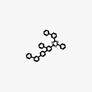 c1ccc(-c2cccc(-c3ccc(-c4ccc(-c5nc(-c6ccccc6)nc(-c6cccc(-c7ccccc7)c6)n5)cc4-c4ccccc4)cc3)c2)cc1